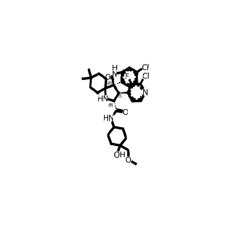 COCC1(O)CCC(NC(=O)[C@@H]2NC3(CCC(C)(C)CC3)[C@@]3(C(=O)Nc4cc(Cl)ccc43)[C@H]2c2ccnc(Cl)c2F)CC1